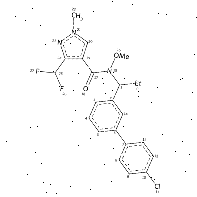 CCC(c1cccc(-c2ccc(Cl)cc2)c1)N(OC)C(=O)c1cn(C)nc1C(F)F